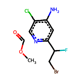 COC=O.Nc1cc(C(F)CBr)ncc1Cl